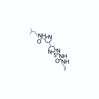 C=CCNC(=O)Nc1nc2cc(-c3cncc(C(=O)NCCC(C)C)c3)cnc2s1